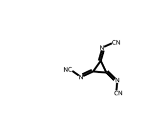 N#CN=C1C(=NC#N)C1=NC#N